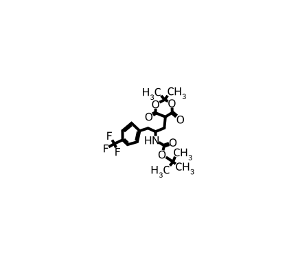 CC(C)(C)OC(=O)NC(Cc1ccc(C(F)(F)F)cc1)CC1C(=O)OC(C)(C)OC1=O